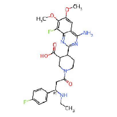 CCN[C@H](CC(=O)N1CCC(c2nc(N)c3cc(OC)c(OC)c(F)c3n2)C(C(=O)O)C1)c1ccc(F)cc1